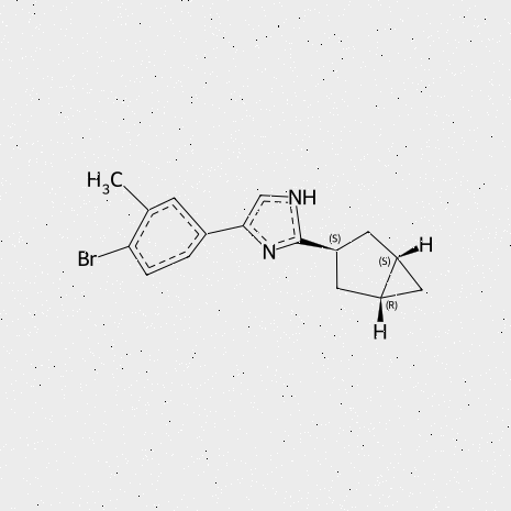 Cc1cc(-c2c[nH]c([C@H]3C[C@@H]4C[C@@H]4C3)n2)ccc1Br